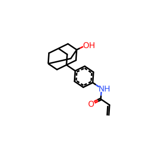 C=CC(=O)Nc1ccc(C23CC4CC(CC(O)(C4)C2)C3)cc1